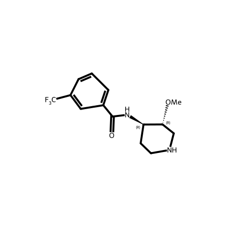 CO[C@@H]1CNCC[C@H]1NC(=O)c1cccc(C(F)(F)F)c1